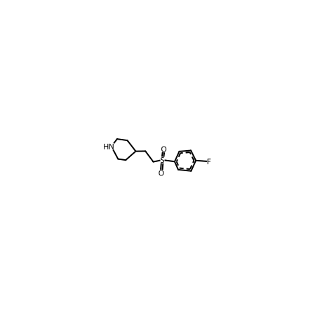 O=S(=O)(CCC1CCNCC1)c1ccc(F)cc1